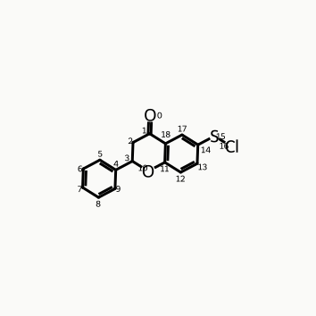 O=C1CC(c2ccccc2)Oc2ccc(SCl)cc21